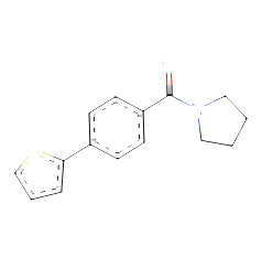 O=C(c1ccc(-c2cccs2)cc1)N1CCCC1